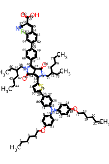 CCCCCCOc1ccc(N(c2ccc(OCCCCCC)cc2)c2ccc(-c3ccc(C4=C5C(=O)N(CC(CC)CCCC)C(c6ccc(-c7ccc(/C=C(\C#N)C(=O)O)c(F)c7)cc6)=C5C(=O)N4CC(CC)CCCC)s3)cc2)cc1